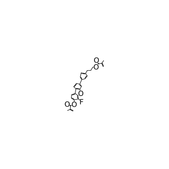 C=C(C)C(=O)OCCCc1ccc(-c2ccc3c(c2)oc2c(F)c(OC(=O)C(=C)C)ccc23)cc1